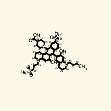 C=c1cc2c(c/c1=C(/c1cc3c(cc1O)N(CCCC)CCC3)c1ccc(S(=O)(=O)O)cc1C(=O)N1CCC(C(=O)O)CC1)CCCN2CCCS(=O)(=O)O